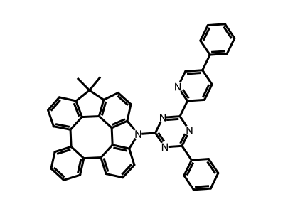 CC1(C)c2cccc3c4ccccc4c4cccc5c4c4c(c1ccc4n5-c1nc(-c4ccccc4)nc(-c4ccc(-c5ccccc5)cn4)n1)c23